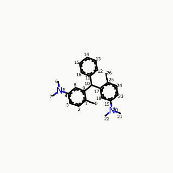 Cc1ccc(N(C)C)cc1C(c1ccccc1)c1cc(N(C)C)ccc1C